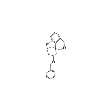 Fc1cccc2c1C1(CCCC(OCc3ccccc3)C1)COC2